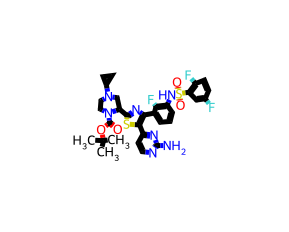 CC(C)(C)OC(=O)N1CCN(C2CC2)CC1c1nc(-c2cccc(NS(=O)(=O)c3cc(F)ccc3F)c2F)c(-c2ccnc(N)n2)s1